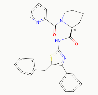 O=C(Nc1nc(-c2ccccc2)c(Cc2ccccc2)s1)[C@@H]1CCCCN1C(=O)c1ccccn1